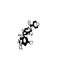 O=C(C1CCOCC1)N1C[C@@H]2C[C@](O)(c3cc(Cl)cc4[nH]ncc34)C[C@@H]2C1